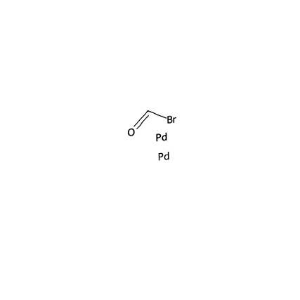 O=CBr.[Pd].[Pd]